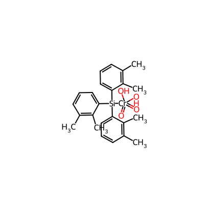 Cc1cccc([Si](c2cccc(C)c2C)(c2cccc(C)c2C)[Cr](=[O])(=[O])([OH])[OH])c1C